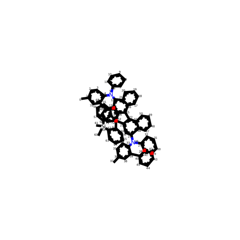 Cc1ccc(N(c2ccccc2)c2cc3c(c4ccccc24)-c2c(cc(N(c4ccccc4)c4ccc(C)cc4-c4ccccc4)c4ccccc24)C32c3ccccc3[Si](C)(C)c3ccccc32)c(-c2ccccc2)c1